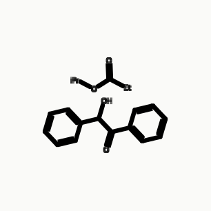 CCC(=O)OC(C)C.O=C(c1ccccc1)C(O)c1ccccc1